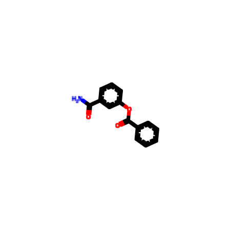 NC(=O)c1cccc(OC(=O)c2ccccc2)c1